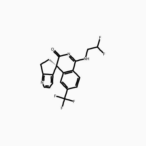 O=C1N=C(NCC(F)F)c2ccc(C(F)(F)F)cc2[C@]12CCc1ncccc12